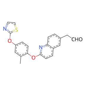 Cc1cc(Oc2nccs2)ccc1Oc1ccc2cc(CC=O)ccc2n1